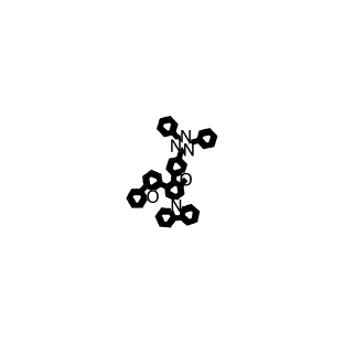 c1ccc(-c2nc(-c3ccccc3)nc(-c3ccc4c(c3)oc3cc(-n5c6ccccc6c6ccccc65)cc(-c5cccc6c5oc5ccccc56)c34)n2)cc1